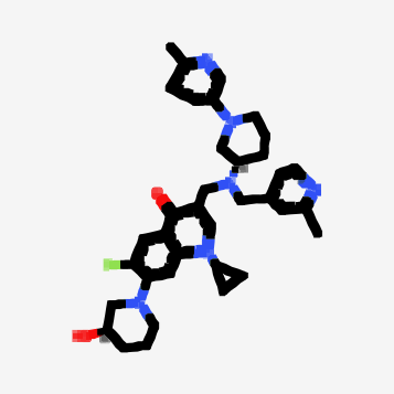 Cc1ccc(N2CCC[C@H](N(Cc3ccnc(C)c3)Cc3cn(C4CC4)c4cc(N5CCC[C@@H](O)C5)c(F)cc4c3=O)C2)cn1